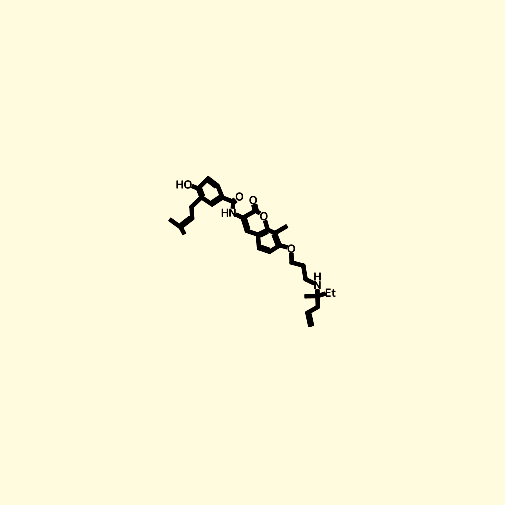 C=CCC(C)(CC)NCCCOc1ccc2cc(NC(=O)c3ccc(O)c(CC=C(C)C)c3)c(=O)oc2c1C